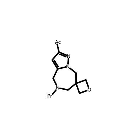 CC(=O)c1cc2n(n1)CC1(COC1)CN(C(C)C)C2